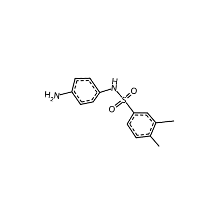 Cc1ccc(S(=O)(=O)Nc2ccc(N)cc2)cc1C